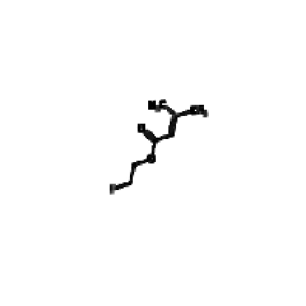 CC(C)=CC(=O)OCCF